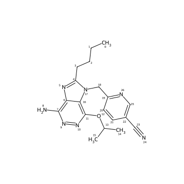 CCCCc1nc2c(N)nnc(OC(C)C)c2n1Cc1ccc(C#N)cn1